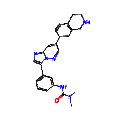 CN(C)C(=O)Nc1cccc(-c2cnc3cc(-c4ccc5c(c4)CNCC5)cnn23)c1